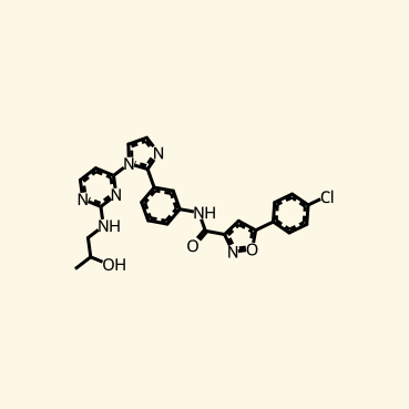 CC(O)CNc1nccc(-n2ccnc2-c2cccc(NC(=O)c3cc(-c4ccc(Cl)cc4)on3)c2)n1